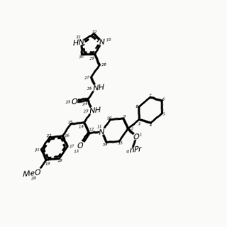 CCCOC1(C2CCCCC2)CCN(C(=O)C(Cc2ccc(OC)cc2)NC(=O)NCCc2c[nH]cn2)CC1